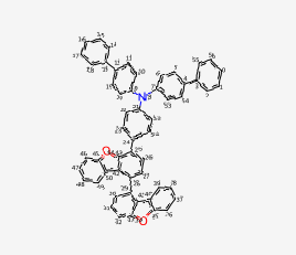 c1ccc(-c2ccc(N(c3ccc(-c4ccccc4)cc3)c3ccc(-c4ccc(-c5cccc6oc7ccccc7c56)c5c4oc4ccccc45)cc3)cc2)cc1